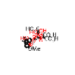 COc1ccc2c3c1O[C@H]1C(OC(=O)C[C@H](OC(=O)[C@H](O)[C@@H](O)C(=O)O)C(=O)O[C@@H](CC(=O)O)C(=O)O)=CC[C@@]4(O)[C@@H](C2)C(C)CC[C@]314